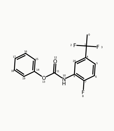 CC(F)(F)c1ccc(F)c(NC(=O)Oc2ccccc2)c1